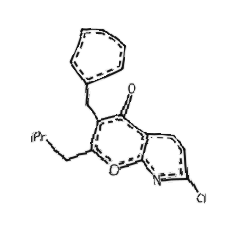 CC(C)Cc1oc2nc(Cl)ccc2c(=O)c1Cc1ccccc1